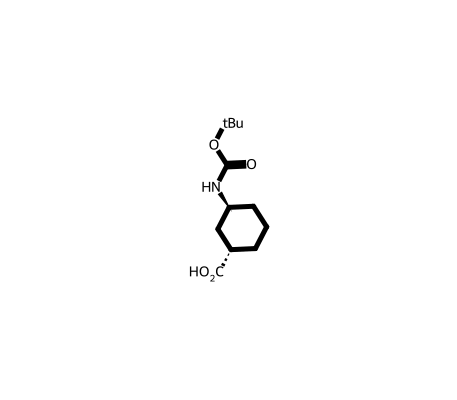 CC(C)(C)OC(=O)N[C@H]1CCC[C@H](C(=O)O)C1